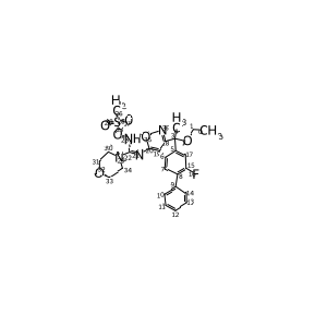 CCOC(C)(c1ccc(-c2ccccc2)c(F)c1)c1cc(N=C(NOS(C)(=O)=O)N2CCOCC2)on1